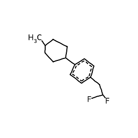 CC1CCC(c2ccc(CC(F)F)cc2)CC1